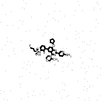 CC1COCCN1c1nc(-c2ccc(N)nc2)nc2c(OC3CCCC3)cc(-c3cccc(NS(=O)(=O)CCCF)c3F)cc12